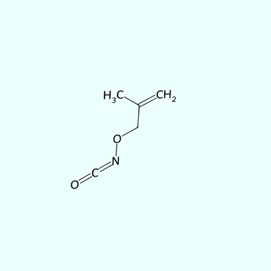 C=C(C)CON=C=O